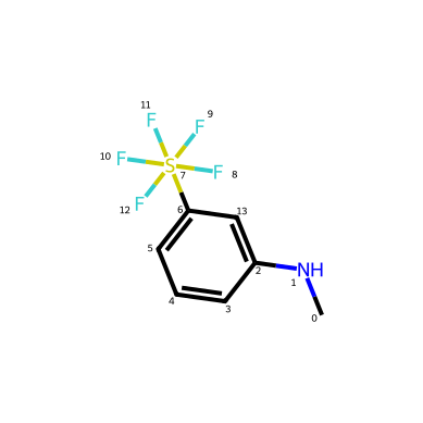 CNc1cccc(S(F)(F)(F)(F)F)c1